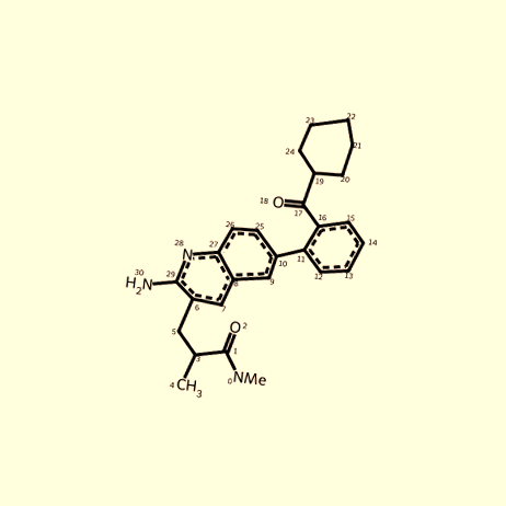 CNC(=O)C(C)Cc1cc2cc(-c3ccccc3C(=O)C3CCCCC3)ccc2nc1N